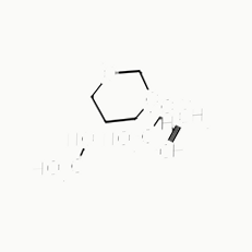 C1COCOC1.C=C.O=C(O)O.O=C(O)O